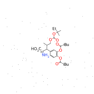 CCC(C)C(=O)Oc1ccc(C(C(C)COC(=O)OC(C)(C)CC)[C@H](N)C(=O)O)cc1OC(=O)C(C)CC